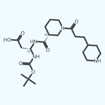 CC(C)(C)OC(=O)N[C@H](CC(=O)O)NC(=O)[C@@H]1CCCN(C(=O)CCC2CCNCC2)C1